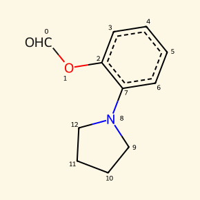 O=COc1ccccc1N1CCCC1